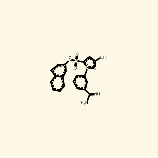 Cc1cc(S(=O)(=O)Nc2ccc3ccccc3c2)n(-c2cccc(C(=N)N)c2)n1